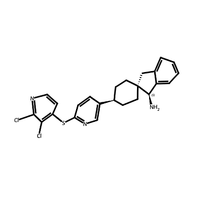 N[C@@H]1c2ccccc2C[C@]12CC[C@H](c1ccc(Sc3ccnc(Cl)c3Cl)nc1)CC2